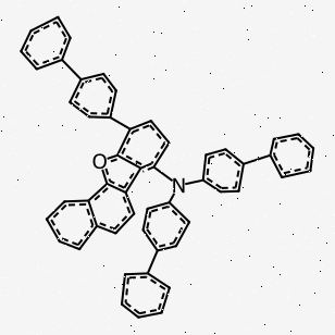 c1ccc(-c2ccc(-c3ccc(N(c4ccc(-c5ccccc5)cc4)c4ccc(-c5ccccc5)cc4)c4c3oc3c5ccccc5ccc34)cc2)cc1